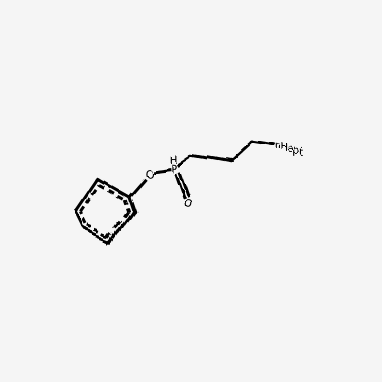 CCCCCCCCCC[PH](=O)Oc1ccccc1